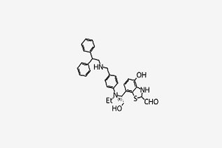 CCN(c1ccc(CNCC(c2ccccc2)c2ccccc2)cc1)[C@@H](CO)c1ccc(O)c2c1SC(C=O)N2